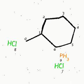 CC1CCCCC1.Cl.Cl.P